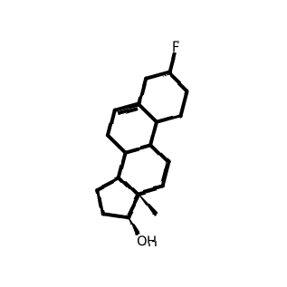 C[C@]12CCC3C4CCC(F)CC4=CCC3C1CC[C@@H]2O